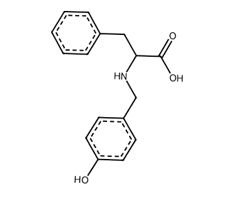 O=C(O)C(Cc1ccccc1)NCc1ccc(O)cc1